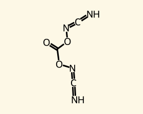 N=C=NOC(=O)ON=C=N